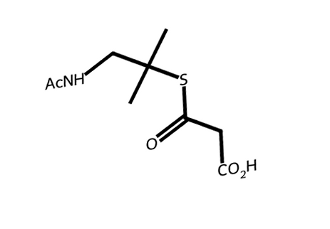 CC(=O)NCC(C)(C)SC(=O)CC(=O)O